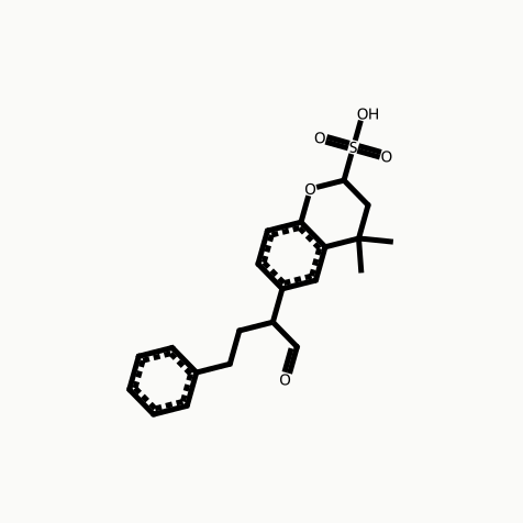 CC1(C)CC(S(=O)(=O)O)Oc2ccc(C(C=O)CCc3ccccc3)cc21